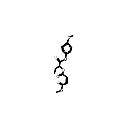 CCC(OC(=O)/C=C\C(=O)OC)C(=O)Oc1ccc(OC)cc1